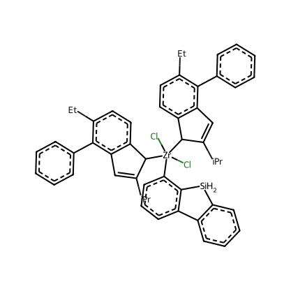 CCc1ccc2c(c1-c1ccccc1)C=C(C(C)C)[CH]2[Zr]([Cl])([Cl])([c]1cccc2c1[SiH2]c1ccccc1-2)[CH]1C(C(C)C)=Cc2c1ccc(CC)c2-c1ccccc1